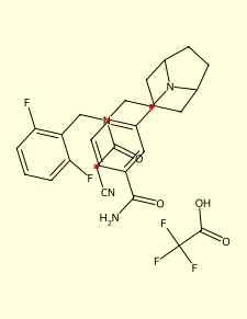 N#CCC(=O)N(CCN1C2CCC1CC(c1cccc(C(N)=O)c1)C2)Cc1c(F)cccc1F.O=C(O)C(F)(F)F